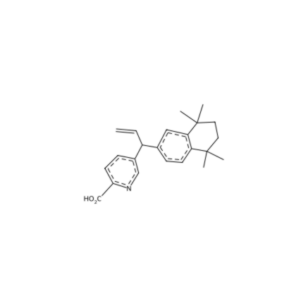 C=CC(c1ccc(C(=O)O)nc1)c1ccc2c(c1)C(C)(C)CCC2(C)C